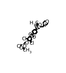 CC(=O)O[C@H](CCl)COc1c(Cl)cc(S(=O)(=O)c2ccc(OC[C@@H](CN3CCOCC3)OC(C)=O)cc2)cc1Cl